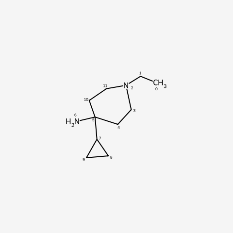 CCN1CCC(N)(C2CC2)CC1